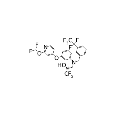 O[C@H](CN(Cc1cccc(C(F)(F)C(F)(F)F)c1)c1cccc(Oc2ccnc(OC(F)F)c2)c1)C(F)(F)F